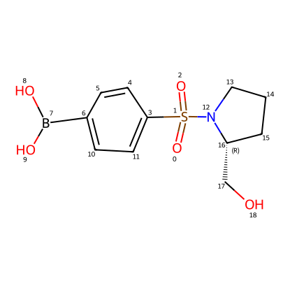 O=S(=O)(c1ccc(B(O)O)cc1)N1CCC[C@@H]1CO